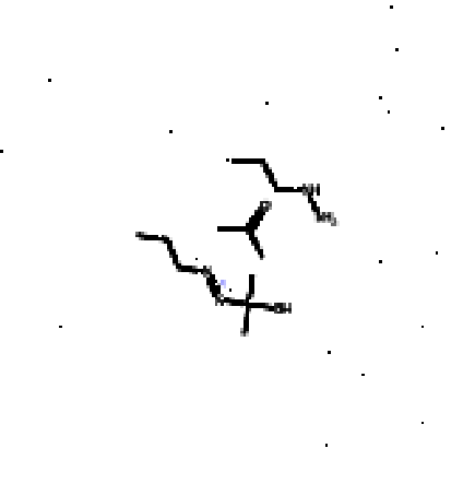 CC(C)=O.CCC/N=N/C(C)(C)O.CCCNN